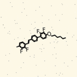 CCCCCCOc1ccc(-c2ccc(/C=C/c3ccc(C)c(F)c3F)cc2)c(F)c1F